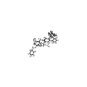 CCCCc1[nH]c(CCc2ccccc2)nc(=O)c1Cc1ccc(-c2ccccc2-c2nnn[nH]2)cc1